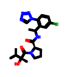 CC(NC(=O)[C@@H]1CCCN1C(=O)[C@](C)(O)C(C)C)c1cc(Cl)ccc1-n1cnnn1